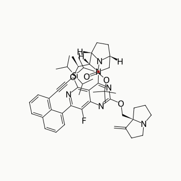 C=C1CCN2CCC[C@@]12COc1nc2c3c(nc(-c4cccc5cccc(C#C[Si](C(C)C)(C(C)C)C(C)C)c45)c(F)c3n1)O[C@@H](C)[C@@H]1[C@@H]3CC[C@H](CN21)N3C(=O)OC(C)(C)C